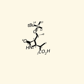 CC(C(=O)O)[C@H]1NC(=O)[C@H]1[C@@H](C)O[Si](C)(C)C(C)(C)C